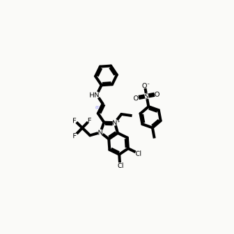 CC[n+]1c(/C=C/Nc2ccccc2)n(CC(F)(F)F)c2cc(Cl)c(Cl)cc21.Cc1ccc(S(=O)(=O)[O-])cc1